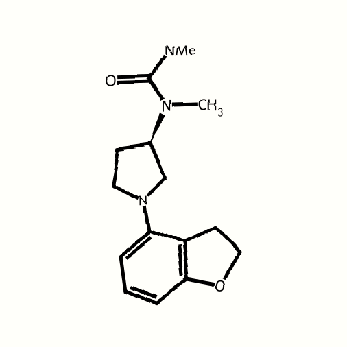 CNC(=O)N(C)[C@@H]1CCN(c2cccc3c2CCO3)C1